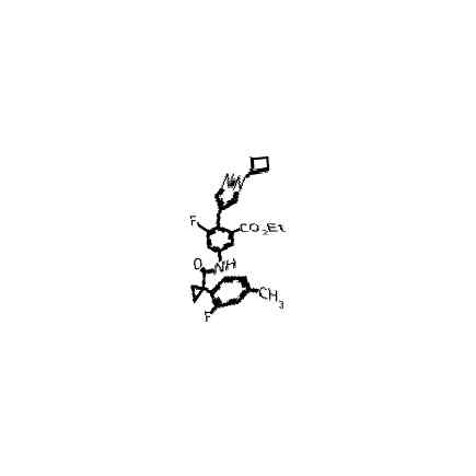 CCOC(=O)c1cc(NC(=O)C2(c3ccc(C)cc3F)CC2)cc(F)c1-c1cnn(C2CCC2)c1